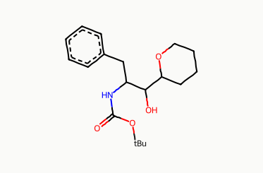 CC(C)(C)OC(=O)NC(Cc1ccccc1)C(O)C1CCCCO1